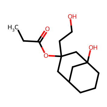 CCC(=O)OC1(CCO)CC2CCCC(O)(C2)C1